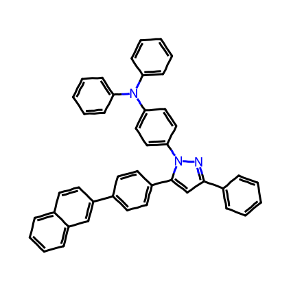 c1ccc(-c2cc(-c3ccc(-c4ccc5ccccc5c4)cc3)n(-c3ccc(N(c4ccccc4)c4ccccc4)cc3)n2)cc1